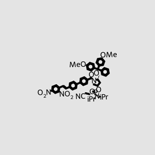 COc1ccc(C(OC[C@@H]2C[C@@H](OP(OCCC#N)N(C(C)C)C(C)C)CN2C(=O)c2ccc(-c3ccc(/C=C/c4ccc([N+](=O)[O-])cc4[N+](=O)[O-])cc3)cc2)(c2ccccc2)c2ccc(OC)cc2)cc1